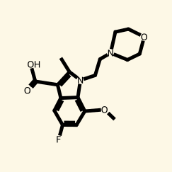 COc1cc(F)cc2c(C(=O)O)c(C)n(CCN3CCOCC3)c12